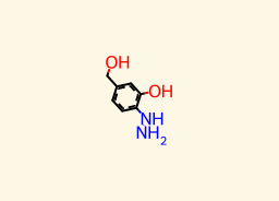 NNc1ccc(CO)cc1O